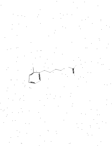 CC(C)(C)C(=O)OCC[C@H](O)[C@@H](O)c1ccccc1Cl